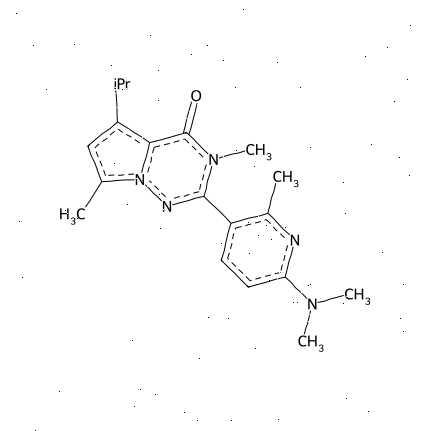 Cc1nc(N(C)C)ccc1-c1nn2c(C)cc(C(C)C)c2c(=O)n1C